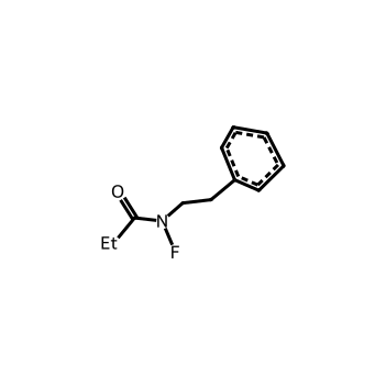 CCC(=O)N(F)CCc1ccccc1